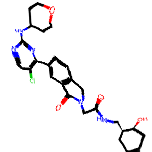 O=C(CN1Cc2ccc(-c3nc(NC4CCOCC4)ncc3Cl)cc2C1=O)NC[C@@H]1CCCC[C@@H]1O